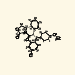 CCOC1CCC([C@@H](CC(=O)N2C(=O)OC[C@@H]2c2ccccc2)c2ccc(Cl)cc2)CC1